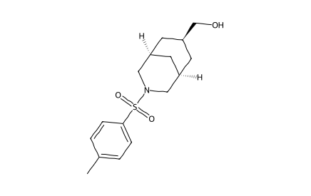 Cc1ccc(S(=O)(=O)N2C[C@@H]3C[C@H](CO)C[C@@H](C3)C2)cc1